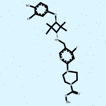 CC(C)(C)OC(=O)N1CCN(c2cc(F)c(CN[C@H]3C(C)(C)[C@H](Oc4ccc(C#N)c(Cl)c4)C3(C)C)cn2)CC1